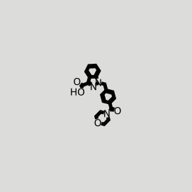 O=C(O)c1nn(Cc2ccc(C(=O)N3CCOCC3)cc2)c2ccccc12